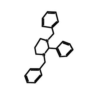 c1ccc(CN2CCCN(Cc3ccccc3)C2c2ccccc2)cc1